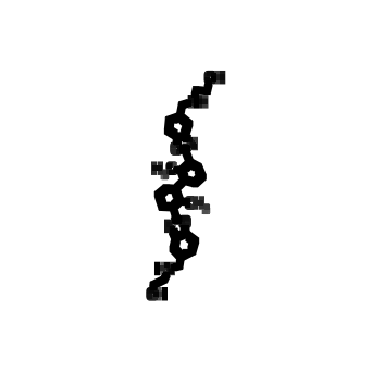 Cc1c(-c2nc3cc(CNCCO)ccc3o2)cccc1-c1cccc(-c2nc3cc(CNCCO)ccc3o2)c1C